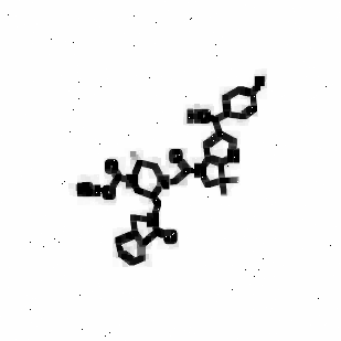 C[C@@H]1CN(CC(=O)N2CC(C)(C)c3ncc([C@@H](O)c4ccc(F)cc4)cc32)[C@@H](CN2Cc3ccccc3C2=O)CN1C(=O)OC(C)(C)C